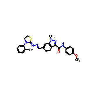 CC(C)c1ccccc1N1CCSC1=NN=Cc1ccc2c(C(=O)Nc3ccc(OC(F)(F)F)cc3)nn(C)c2c1